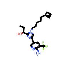 CCC(O)c1nc(-c2cnc(N)c(C(F)(F)F)c2)cn1CCCCCC12CC(C1)C2